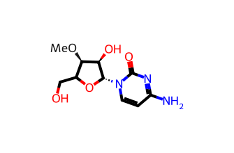 CO[C@@H]1C(CO)O[C@@H](n2ccc(N)nc2=O)[C@@H]1O